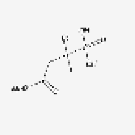 CCC(C)(CC(=O)OC)P(=O)(O)O